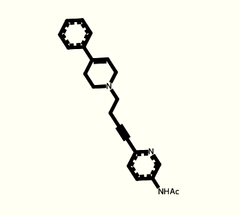 CC(=O)Nc1ccc(C#CCCN2CC=C(c3ccccc3)CC2)nc1